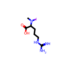 CN(I)C(CCCNC(=N)N)C(=O)O